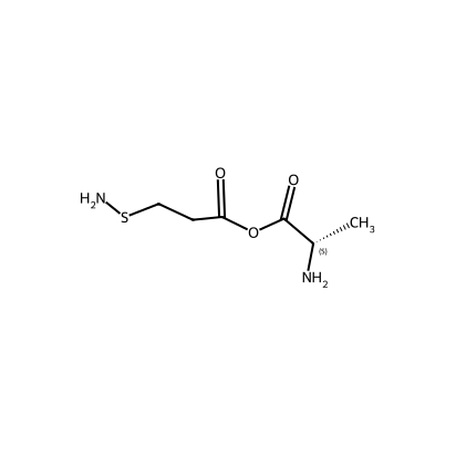 C[C@H](N)C(=O)OC(=O)CCSN